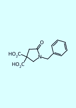 O=C1CC(C(=O)O)(C(=O)O)CN1Cc1ccccc1